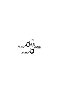 CSc1ccc(C#N)s1.CSc1ccc(C(=N)N)s1